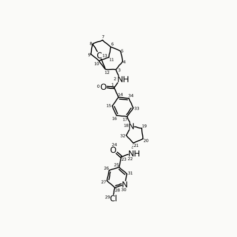 O=C(NC1CCC2CC3CC(C2)C1C3)c1ccc(N2CC[C@H](NC(=O)c3ccc(Cl)nc3)C2)cc1